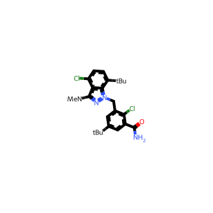 CNc1nn(Cc2cc(C(C)(C)C)cc(C(N)=O)c2Cl)c2c(C(C)(C)C)ccc(Cl)c12